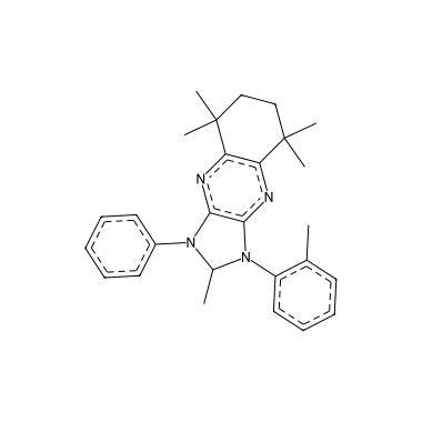 Cc1ccccc1N1c2nc3c(nc2N(c2ccccc2)C1C)C(C)(C)CCC3(C)C